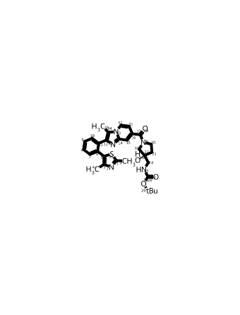 Cc1nc(C)c(-c2ccccc2-c2nc3cc(C(=O)N4CC[C@@](O)(CNC(=O)OC(C)(C)C)C4)ccn3c2C)s1